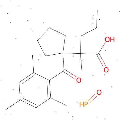 CCCC(C)(C(=O)O)C1(C(=O)c2c(C)cc(C)cc2C)CCCC1.O=P